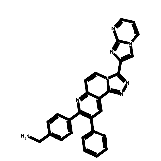 NCc1ccc(-c2nc3ccn4c(-c5cn6cccnc6n5)nnc4c3cc2-c2ccccc2)cc1